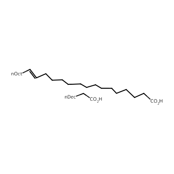 CCCCCCCCC=CCCCCCCCCCCCCCC(=O)O.CCCCCCCCCCCC(=O)O